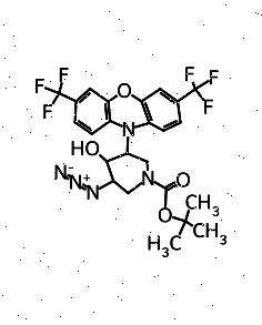 CC(C)(C)OC(=O)N1CC(N=[N+]=[N-])C(O)C(N2c3ccc(C(F)(F)F)cc3Oc3cc(C(F)(F)F)ccc32)C1